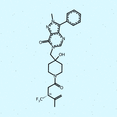 C=C(C)[C@@H](CC(=O)N1CCC(O)(Cn2cnc3c(-c4ccccc4)n(C)nc3c2=O)CC1)C(F)(F)F